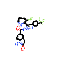 O=C1Cc2cc(C(=O)N[C@@H](c3ccc(C(F)(F)F)cc3)c3ncccc3F)ccc2N1